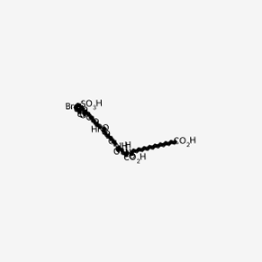 O=C(O)CCCCCCCCCCCCCCCCC(=O)NC(CCC(=O)NCCOCCOCC(=O)NCCOCCOCC(=O)Oc1c(C(F)(F)F)cc(Br)cc1S(=O)(=O)O)C(=O)O